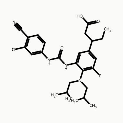 CCC(CC(=O)O)c1cc(F)c(N(CC(C)C)CC(C)C)c(NC(=O)Nc2ccc(C#N)c(Cl)c2)c1